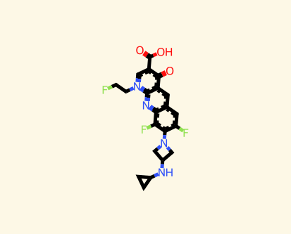 O=C(O)c1cn(CCF)c2nc3c(F)c(N4CC(NC5CC5)C4)c(F)cc3cc2c1=O